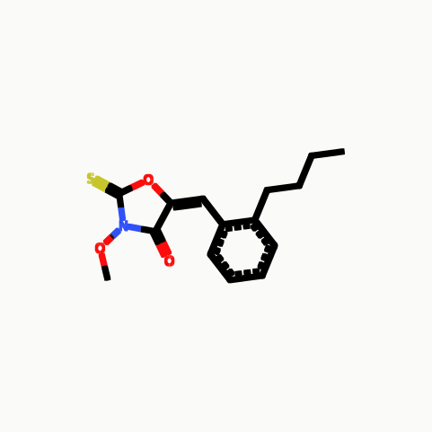 CCCCc1ccccc1/C=C1/OC(=S)N(OC)C1=O